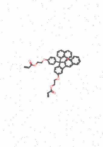 C=CC(=O)OCCOc1ccc(C2(c3cccc4ccccc34)c3ccc(OCCOC(=O)C=C)cc3-c3cc4ccccc4cc32)cc1